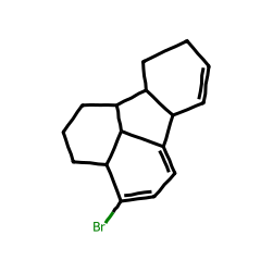 BrC1=CC=C2C3C=CCCC3C3CCCC1C23